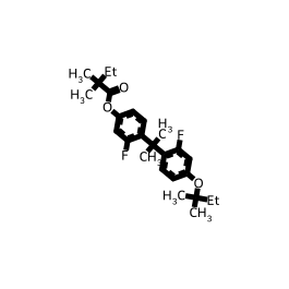 CCC(C)(C)Oc1ccc(C(C)(C)c2ccc(OC(=O)C(C)(C)CC)cc2F)c(F)c1